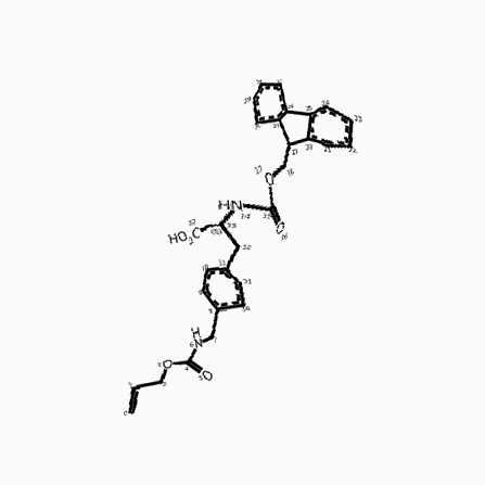 C=CCOC(=O)NCc1ccc(C[C@H](NC(=O)OCC2c3ccccc3-c3ccccc32)C(=O)O)cc1